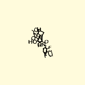 C[C@@H]1CN2C(=O)c3c(O)c(=O)c(C(=O)NCc4ccc(F)c(Cl)c4F)cn3[C@@H]3CCC[C@@H](O1)C32